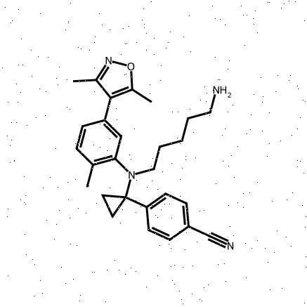 Cc1ccc(-c2c(C)noc2C)cc1N(CCCCCN)C1(c2ccc(C#N)cc2)CC1